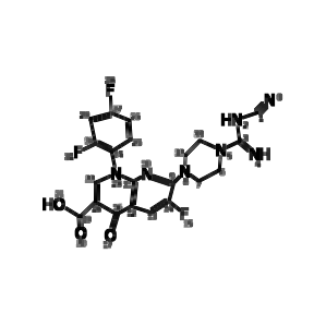 N#CNC(=N)N1CCN(c2nc3c(cc2F)c(=O)c(C(=O)O)cn3-c2ccc(F)cc2F)CC1